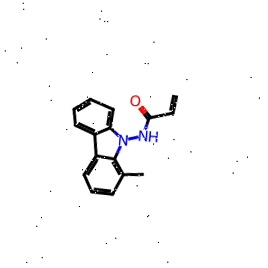 C=CC(=O)Nn1c2ccccc2c2cccc(C)c21